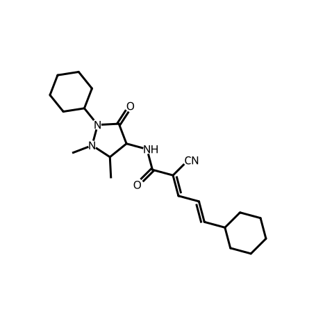 CC1C(NC(=O)/C(C#N)=C/C=C/C2CCCCC2)C(=O)N(C2CCCCC2)N1C